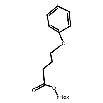 CCCCCCOC(=O)CCCOc1cc[c]cc1